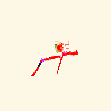 CCCCCCCCCCCCCCCCN(C)CCCCCCCCCCCCCCCC.CCCCCCCCCCCCCCCCN(C)CCCCCCCCCCCCCCCC.OB(O)Oc1c(F)c(F)c(F)c(F)c1F